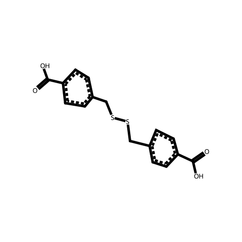 O=C(O)c1ccc(CSSCc2ccc(C(=O)O)cc2)cc1